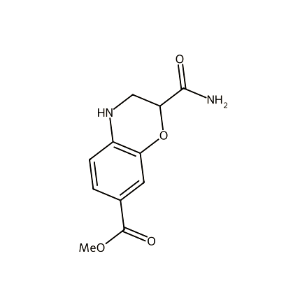 COC(=O)c1ccc2c(c1)OC(C(N)=O)CN2